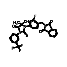 CC1(C)C(=O)N(c2cccc(C(F)(F)F)c2)C(=S)N1c1ccc(CN2C(=O)c3ccccc3C2=O)c(F)c1